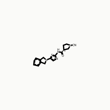 N#CN1CC[C@H](C(=O)Nc2ncc(N3Cc4ccccc4C3)s2)C1